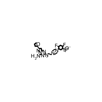 CN(CCN1CCN(c2cc([S@@+](C)[O-])c(F)cc2F)CC1)c1nc(N)n2nc(-c3ccco3)cc2n1